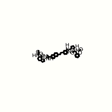 COC(=O)N[C@H]1CCC2CC[C@@H](c3ncc(-c4ccc5cc(/C=C/c6ccc7nc(C8CCCN8C(=O)[C@H](NC(=O)OC)c8ccccc8)[nH]c7c6)ccc5c4)[nH]3)N2C1=O